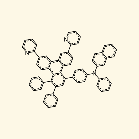 c1ccc(-c2cc(-c3ccc(N(c4ccccc4)c4ccc5ccccc5c4)cc3)c3c4ccc(-c5ccccn5)cc4c4cc(-c5ccccn5)ccc4c3c2-c2ccccc2)cc1